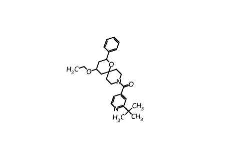 CCOC1CC(c2ccccc2)OC2(CCN(C(=O)c3ccnc(C(C)(C)C)c3)CC2)C1